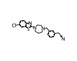 N#CCc1cccc(CN2CCCN(c3nc4ccc(Cl)cc4s3)CC2)c1